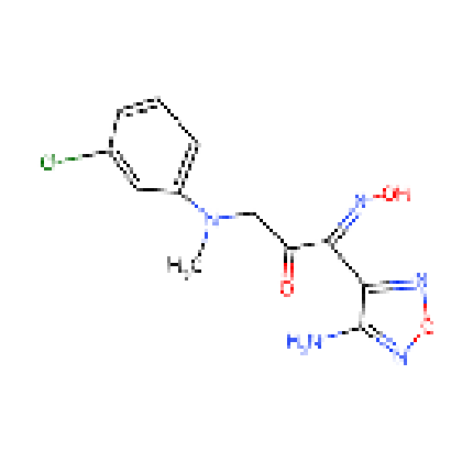 CN(CC(=O)C(=NO)c1nonc1N)c1cccc(Cl)c1